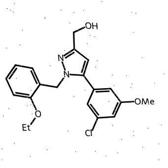 CCOc1ccccc1Cn1nc(CO)cc1-c1cc(Cl)cc(OC)c1